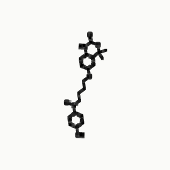 CC1(C)OC(=O)Nc2ccc(OCCCC[S+]([O-])c3ccc(O)cc3)cc21